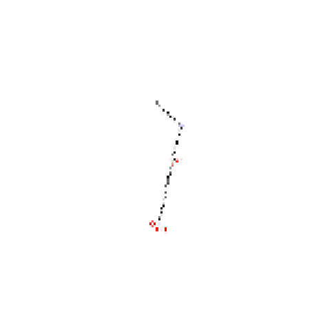 CCCCCCCC/C=C\CCCCCCCC(=O)OCCCCCCCCCCCCCCCC(=O)O